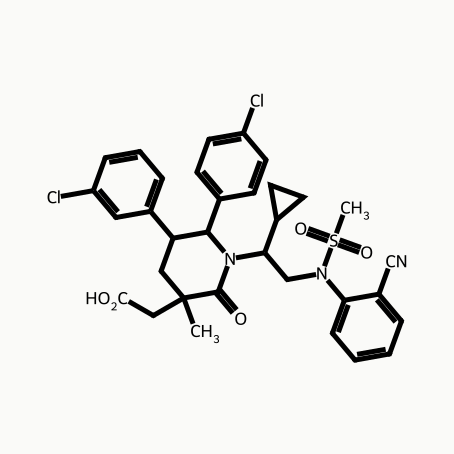 CC1(CC(=O)O)CC(c2cccc(Cl)c2)C(c2ccc(Cl)cc2)N(C(CN(c2ccccc2C#N)S(C)(=O)=O)C2CC2)C1=O